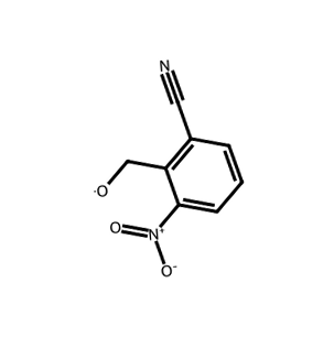 N#Cc1cccc([N+](=O)[O-])c1C[O]